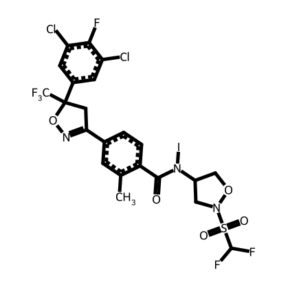 Cc1cc(C2=NOC(c3cc(Cl)c(F)c(Cl)c3)(C(F)(F)F)C2)ccc1C(=O)N(I)C1CON(S(=O)(=O)C(F)F)C1